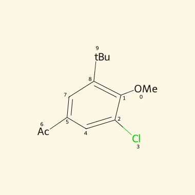 COc1c(Cl)cc(C(C)=O)cc1C(C)(C)C